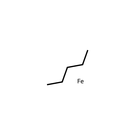 CCCCC.[Fe]